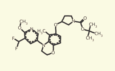 COc1ncc(N2CCOc3ccc(OC4CCN(C(=O)OC(C)(C)C)C4)c(C)c32)cc1C(F)F